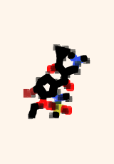 CCOc1c(Br)ccc(C(=O)C(=CN(C)C)C(=O)C2CC2)c1N(C)S(C)(=O)=O